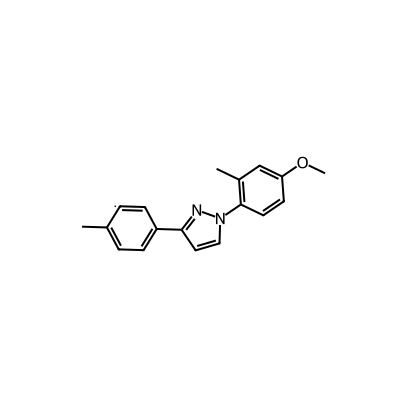 COc1ccc(-n2ccc(-c3c[c]c(C)cc3)n2)c(C)c1